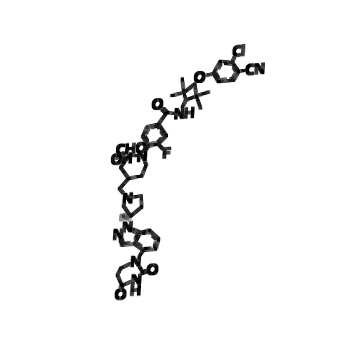 CC1(C)C(NC(=O)c2ccc(N3CCC(CN4CC[C@H](n5ncc6c(N7CCC(=O)NC7=O)cccc65)C4)CC3)c(F)c2)C(C)(C)C1Oc1ccc(C#N)c(Cl)c1.O=CO